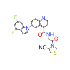 N#CC1CSCN1C(=O)CNC(=O)c1ccnc2ccc(-n3ccc4c(F)cc(F)cc43)cc12